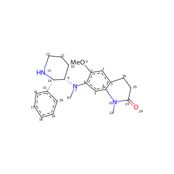 COc1cc2c(cc1N(C)[C@H]1CCCN[C@H]1c1ccccc1)N(C)C(=O)CC2